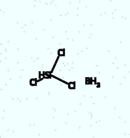 B.Cl[SiH](Cl)Cl